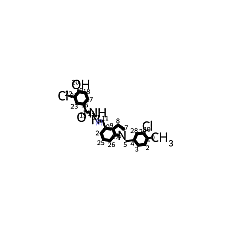 Cc1ccc(Cn2ccc3c(/C=N/NC(=O)c4ccc(O)c(Cl)c4)cccc32)cc1Cl